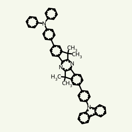 CC1(C)c2cc(-c3ccc(N(c4ccccc4)c4ccccc4)cc3)ccc2-c2nc3c(nc21)-c1ccc(-c2ccc(-n4c5ccccc5c5ccccc54)cc2)cc1C3(C)C